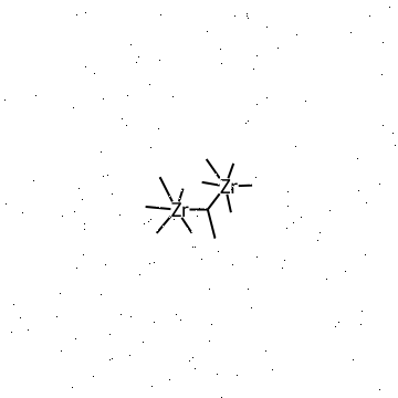 C[CH]([Zr]([CH3])([CH3])([CH3])([CH3])[CH3])[Zr]([CH3])([CH3])([CH3])([CH3])[CH3]